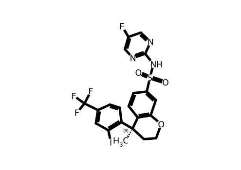 C[C@@]1(c2ccc(C(F)(F)F)cc2I)CCOc2cc(S(=O)(=O)Nc3ncc(F)cn3)ccc21